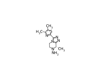 Cc1nc(-c2nnc3n2CCN(N)[C@H]3C)sc1C